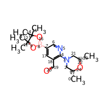 C[C@@H]1CN(c2ncc(B3OC(C)(C)C(C)(C)O3)cc2C=O)C[C@H](C)O1